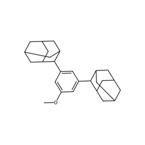 COc1cc(C2C3CC4CC(C3)CC2C4)cc(C2C3CC4CC(C3)CC2C4)c1